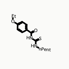 CCCCCNC(=S)NC(=O)c1ccc(OCC)cc1